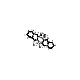 CC[Si]1(CC)c2cc3ccccc3cc2[Si](CC)(CC)c2cc3ccccc3cc21